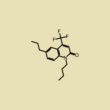 CCCCn1c(=O)cc(C(F)(F)F)c2cc(CCC)ccc21